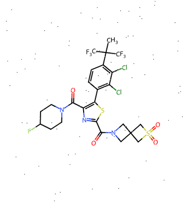 CC(c1ccc(-c2sc(C(=O)N3CC4(C3)CS(=O)(=O)C4)nc2C(=O)N2CCC(F)CC2)c(Cl)c1Cl)(C(F)(F)F)C(F)(F)F